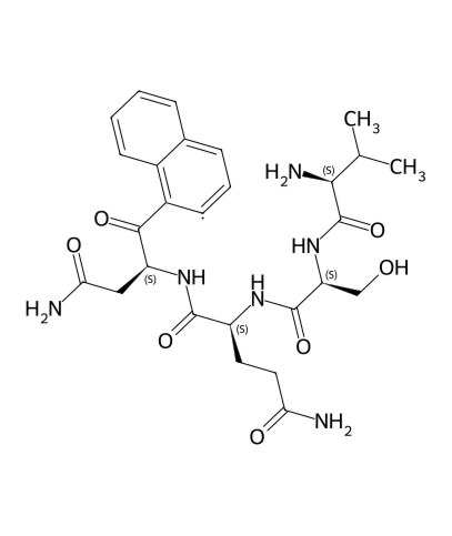 CC(C)[C@H](N)C(=O)N[C@@H](CO)C(=O)N[C@@H](CCC(N)=O)C(=O)N[C@@H](CC(N)=O)C(=O)c1[c]ccc2ccccc12